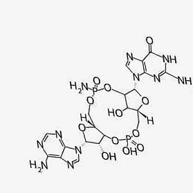 Nc1nc2c(ncn2[C@@H]2O[C@@H]3COP(=O)(O)OC4[C@@H](COP(N)(=O)OC2C3O)O[C@@H](n2cnc3c(N)ncnc32)[C@H]4O)c(=O)[nH]1